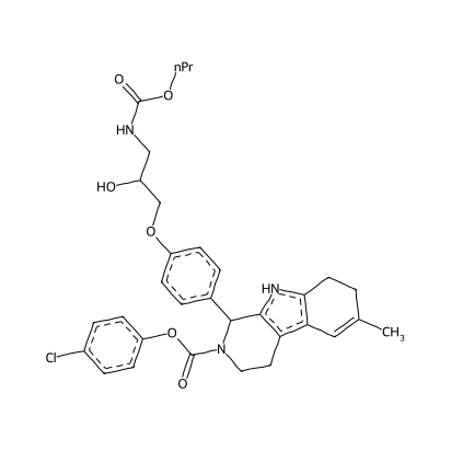 CCCOC(=O)NCC(O)COc1ccc(C2c3[nH]c4c(c3CCN2C(=O)Oc2ccc(Cl)cc2)C=C(C)CC4)cc1